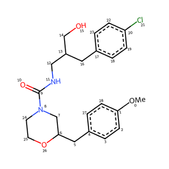 COc1ccc(CC2CN(C(=O)NCC(CO)Cc3ccc(Cl)cc3)CCO2)cc1